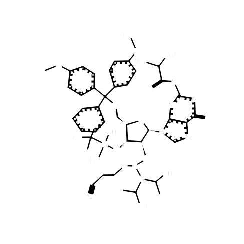 COc1ccc(C(OC[C@H]2O[C@@H](n3cnc4c(=O)[nH]c(NC(=O)C(C)C)nc43)[C@@H](OP(OCCC#N)N(C(C)C)C(C)C)[C@H]2O[Si](C)(C)C(C)(C)C)(c2ccccc2)c2ccc(OC)cc2)cc1